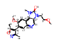 COCCn1c(=O)n(C)c2c3cc(OC)c(-c4c(C)noc4C)cc3ncc21